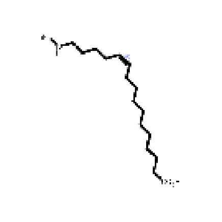 CC(C)NCCCC/C=C\CCCCCCCCCC(=O)O